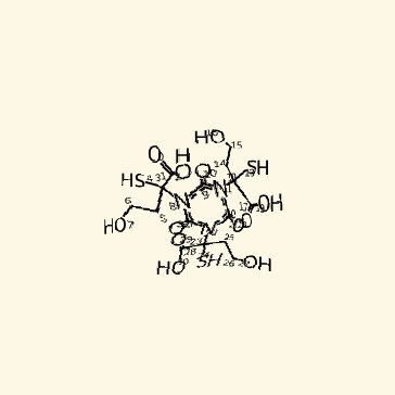 O=C(O)C(S)(CCO)n1c(=O)n(C(S)(CCO)C(=O)O)c(=O)n(C(S)(CCO)C(=O)O)c1=O